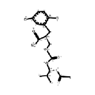 CC(=O)O[C@@H](OC(=O)NC[C@H](Cc1cc(Cl)ccc1Cl)C(=O)O)C(C)C